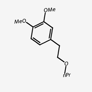 CCCOCCc1ccc(OC)c(OC)c1